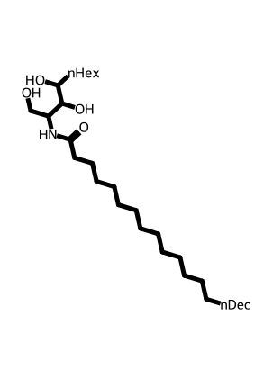 CCCCCCCCCCCCCCCCCCCCCCCC(=O)NC(CO)C(O)C(O)CCCCCC